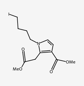 COC(=O)Cc1c(C(=O)OC)ccn1CCCCI